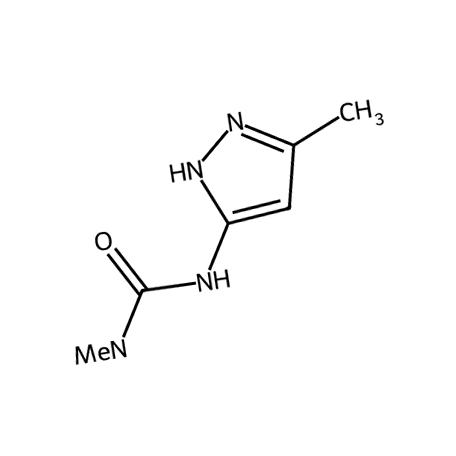 CNC(=O)Nc1cc(C)n[nH]1